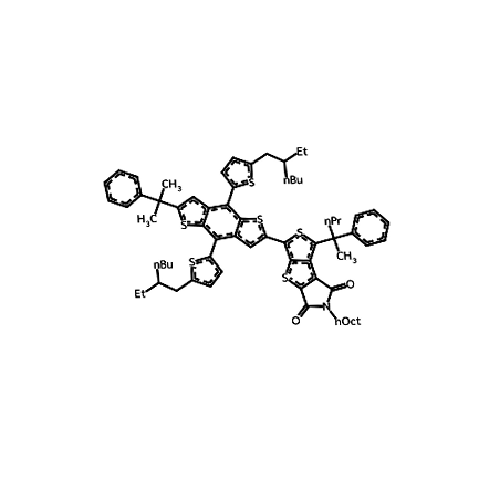 CCCCCCCCN1C(=O)c2sc3c(-c4cc5c(-c6ccc(CC(CC)CCCC)s6)c6sc(C(C)(C)c7ccccc7)cc6c(-c6ccc(CC(CC)CCCC)s6)c5s4)sc(C(C)(CCC)c4ccccc4)c3c2C1=O